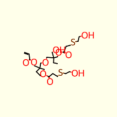 C=CC(=O)OCC(CC)(COCC(CC)(CO)COC(=O)CCSCCO)COC(=O)CCSCCO